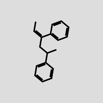 CC=C(CC(C)c1ccccc1)c1ccccc1